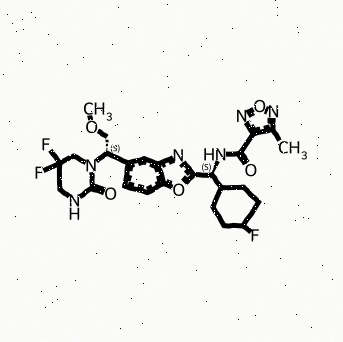 COC[C@H](c1ccc2oc([C@@H](NC(=O)c3nonc3C)C3CCC(F)CC3)nc2c1)N1CC(F)(F)CNC1=O